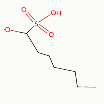 CCCCCCC([O])S(=O)(=O)O